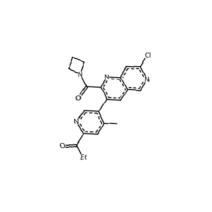 CCC(=O)c1cc(C)c(-c2cc3cnc(Cl)cc3nc2C(=O)N2CCC2)cn1